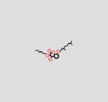 CCC=CCCOc1c(OC)c2cccc(OC/C=C(\C)CCC=C(C)C)c2oc1=O